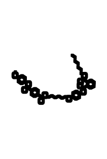 CCCCCCCOC(=O)c1ccccc1C(=O)Oc1ccc(OCCCCCCOC(=O)c2ccc(C(=O)Oc3ccc(OC)cc3)cc2)cc1